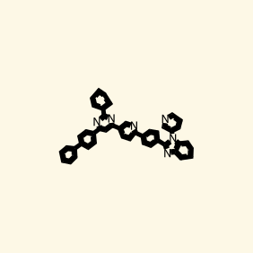 c1ccc(-c2ccc(-c3cc(-c4ccc(-c5ccc(-c6nc7ccccc7n6-c6cccnc6)cc5)nc4)nc(-c4ccccc4)n3)cc2)cc1